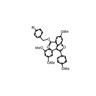 COc1ccc(-c2oc3cc(OC)cc(C(=O)OCc4ccc(Br)cc4)c3c2-c2cc(OC)cc(OC)c2)cc1